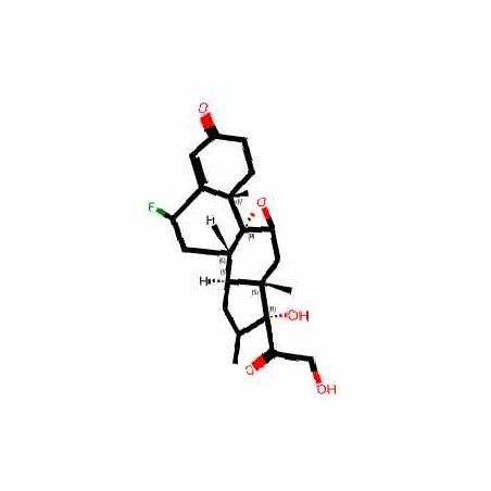 CC1C[C@H]2[C@@H]3CC(F)C4=CC(=O)CC[C@]4(C)[C@]34OC4C[C@]2(C)[C@@]1(O)C(=O)CO